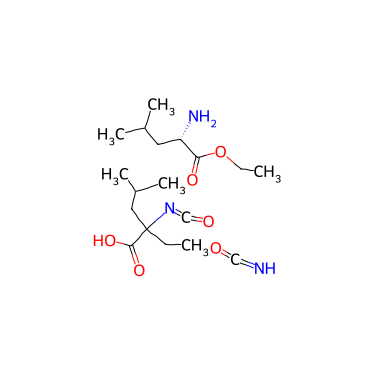 CCC(CC(C)C)(N=C=O)C(=O)O.CCOC(=O)[C@@H](N)CC(C)C.N=C=O